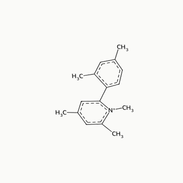 Cc1ccc(-c2cc(C)cc(C)[n+]2C)c(C)c1